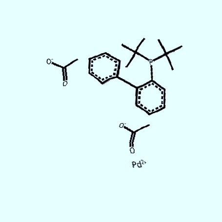 CC(=O)[O-].CC(=O)[O-].CC(C)(C)P(c1ccccc1-c1ccccc1)C(C)(C)C.[Pd+2]